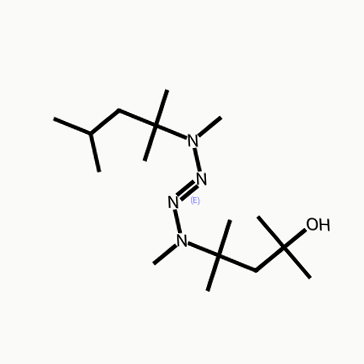 CC(C)CC(C)(C)N(C)/N=N/N(C)C(C)(C)CC(C)(C)O